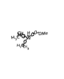 COCCOc1ccc(-c2nc(-c3ccc(N(C)C)cc3)c(-c3ccc(N(C)C)cc3)[nH]2)cc1